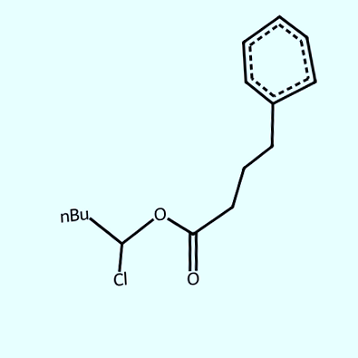 CCCCC(Cl)OC(=O)CCCc1ccccc1